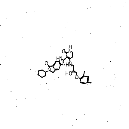 Cc1ccc(OC[C@H](O)CNc2cc[nH]c(=O)c2-c2nc3cc4c(cc3[nH]2)C(=O)N(C2CCCCC2)C4)c(C)c1